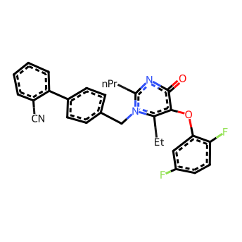 CCCc1nc(=O)c(Oc2cc(F)ccc2F)c(CC)n1Cc1ccc(-c2ccccc2C#N)cc1